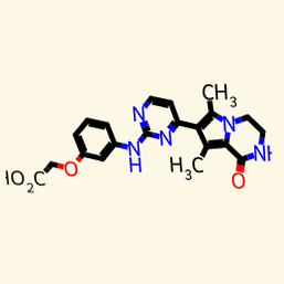 Cc1c(-c2ccnc(Nc3cccc(OCC(=O)O)c3)n2)c(C)n2c1C(=O)NCC2